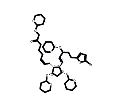 O=C(CCC/C=C\C[C@@H]1[C@@H](/C=C/C(CCc2ccc(Br)s2)O[C@H]2CCCCO2)[C@H](OC2CCCCO2)C[C@@H]1OC1CCCCO1)COC1CCCCO1